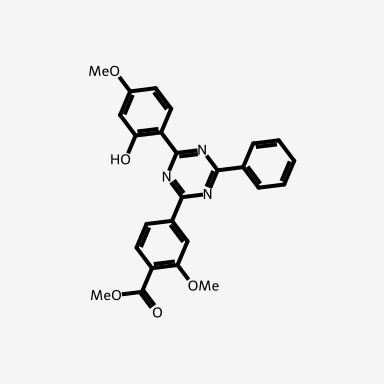 COC(=O)c1ccc(-c2nc(-c3ccccc3)nc(-c3ccc(OC)cc3O)n2)cc1OC